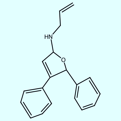 C=CCNC1C=C(c2ccccc2)C(c2ccccc2)O1